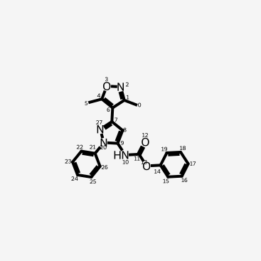 Cc1noc(C)c1-c1cc(NC(=O)Oc2ccccc2)n(-c2ccccc2)n1